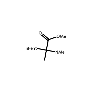 CCCCCC(C)(NC)C(=O)OC